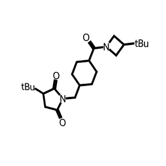 CC(C)(C)C1CN(C(=O)C2CCC(CN3C(=O)CC(C(C)(C)C)C3=O)CC2)C1